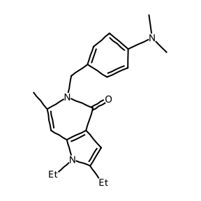 CCc1cc2c(=O)n(Cc3ccc(N(C)C)cc3)c(C)cc2n1CC